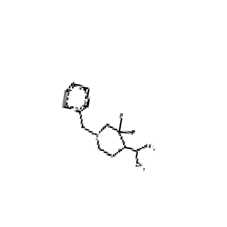 CC(C)C1CCN(Cc2ccccc2)CC1(F)F